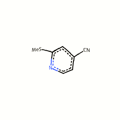 CSc1cc(C#N)ccn1